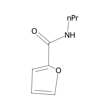 CCCNC(=O)c1ccco1